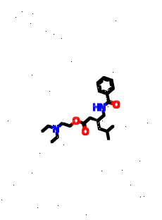 CCN(CC)CCOC(=O)C[C@@H](CNC(=O)c1ccccc1)CC(C)C